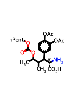 CCCCCOC(=O)OC(C)C(C)C(c1ccc(OC(C)=O)c(OC(C)=O)c1)[C@H](N)C(=O)O